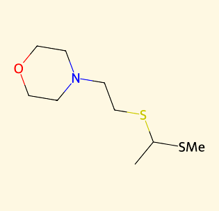 CSC(C)SCCN1CCOCC1